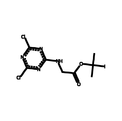 CC(C)(I)OC(=O)CNc1nc(Cl)nc(Cl)n1